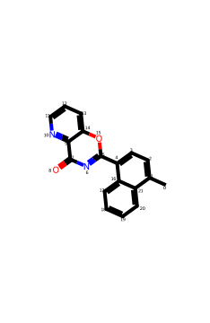 Cc1ccc(-c2nc(=O)c3ncccc3o2)c2ccccc12